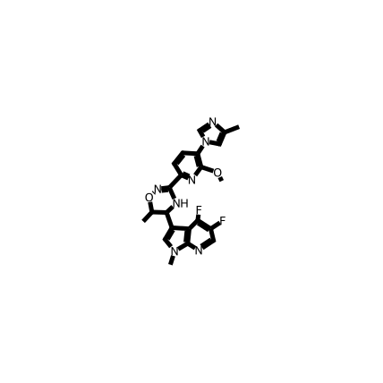 COc1nc(C2=NOC(C)C(c3cn(C)c4ncc(F)c(F)c34)N2)ccc1-n1cnc(C)c1